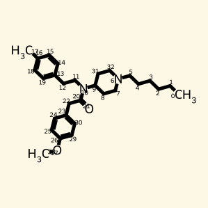 CCCCCCN1CCC(N(CCc2ccc(C)cc2)C(=O)Cc2ccc(OC)cc2)CC1